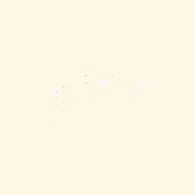 COc1ccc2nccc([C@@H](O)CC[C@@H]3CCN(CC#Cc4cncs4)C[C@@H]3CC(=O)O)c2c1